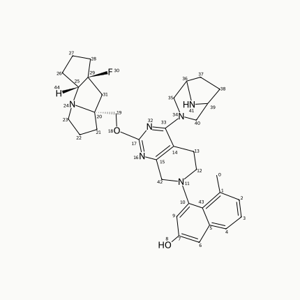 Cc1cccc2cc(O)cc(N3CCc4c(nc(OC[C@]56CCCN5[C@@H]5CCC[C@]5(F)C6)nc4N4CC5CCC(C4)N5)C3)c12